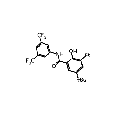 CCc1cc(C(C)(C)C)cc(C(=O)Nc2cc(C(F)(F)F)cc(C(F)(F)F)c2)c1O